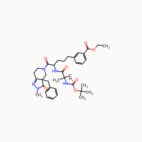 CCOC(=O)c1cccc(CCCC(NC(=O)C(C)(C)NC(=O)OC(C)(C)C)C(=O)N2CCC3=NN(C)C(=O)C3(Cc3ccccc3)C2)c1